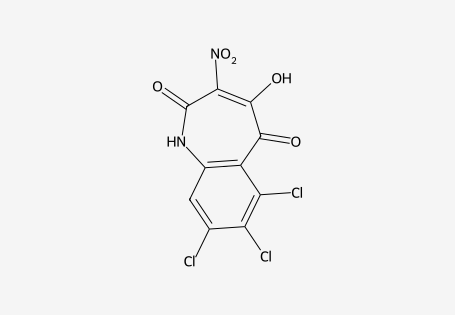 O=c1[nH]c2cc(Cl)c(Cl)c(Cl)c2c(=O)c(O)c1[N+](=O)[O-]